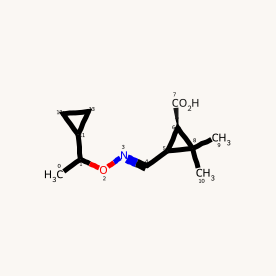 CC(ON=CC1[C@@H](C(=O)O)C1(C)C)C1CC1